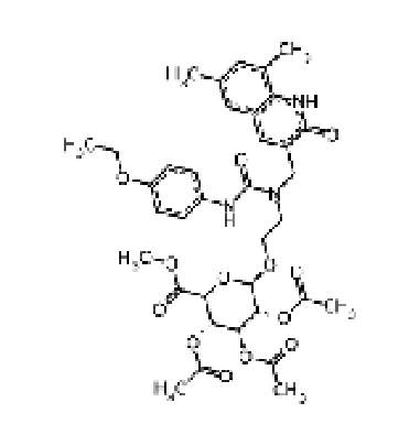 CCOc1ccc(NC(=O)N(CCO[C@@H]2O[C@H](C(=O)OC)[C@@H](OC(C)=O)[C@H](OC(C)=O)[C@H]2OC(C)=O)Cc2cc3cc(C)cc(C)c3[nH]c2=O)cc1